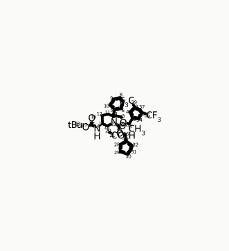 C[C@@H](OCC1(c2ccccc2)CC[C@H](NC(=O)OC(C)(C)C)[C@@H](CC(=O)O)N1C(=O)OCc1ccccc1)c1cc(C(F)(F)F)cc(C(F)(F)F)c1